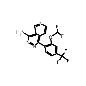 Nc1nnc(-c2ccc(C(F)(F)F)cc2OC(F)F)c2ccncc12